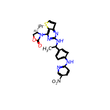 CC(Nc1nc(N2C(=O)OC[C@@H]2C(C)C)c2sccc2n1)c1ccc(Nc2ccc([N+](=O)[O-])cn2)cc1